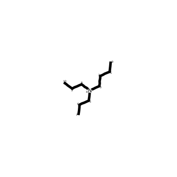 CCCCN(CCC)CCC